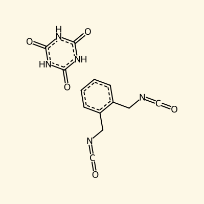 O=C=NCc1ccccc1CN=C=O.O=c1[nH]c(=O)[nH]c(=O)[nH]1